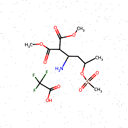 COC(=O)C(C(=O)OC)C(N)CC(C)OS(C)(=O)=O.O=C(O)C(F)(F)F